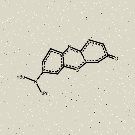 CCCCN(CCC)c1ccc2nc3ccc(=O)cc-3sc2c1